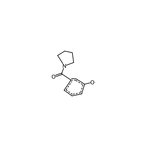 [O]c1cccc(C(=O)N2CCCC2)c1